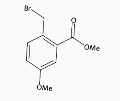 COC(=O)c1cc(OC)ccc1CBr